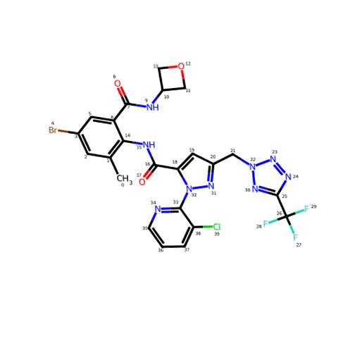 Cc1cc(Br)cc(C(=O)NC2COC2)c1NC(=O)c1cc(Cn2nnc(C(F)(F)F)n2)nn1-c1ncccc1Cl